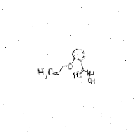 C=CCOc1ccccc1C(=N)NO